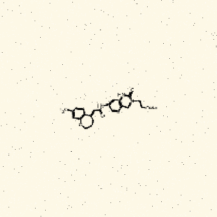 COCCN1Cc2ccc(NC(=O)/C=C3\CCCOc4cc(C(F)(F)F)ccc43)cc2NC1=O